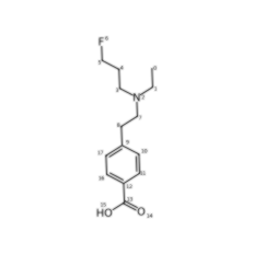 CCN(CCCF)CCc1ccc(C(=O)O)cc1